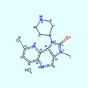 Cl.Cn1c(=O)n(C2CCNCC2)c2c3nc(Cl)ccc3ncc21